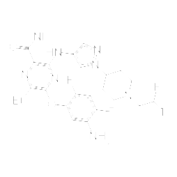 CCc1nc(C(N)=O)c(Nc2cnn(C3CCN(CC(F)F)CC3)c2)nc1Oc1cc(N)c(F)cc1F